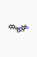 Cc1c(Nc2c(C#N)cnc3sc(-c4ccc5ccccc5c4)cc23)ccc2[nH]ccc12